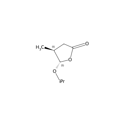 CC(C)O[C@H]1OC(=O)C[C@@H]1C